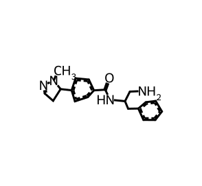 CN1N=CCC1c1ccc(C(=O)NC(CN)Cc2ccccc2)cc1